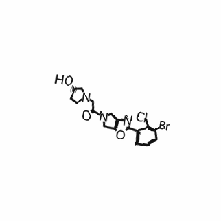 O=C(CN1CC[C@@H](O)C1)N1Cc2nc(-c3cccc(Br)c3Cl)oc2C1